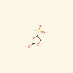 O=C1OCC(S(=O)(=O)F)O1